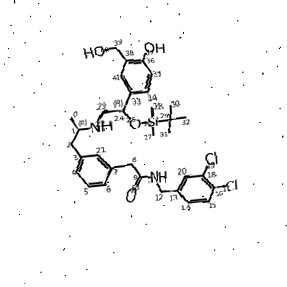 C[C@H](Cc1cccc(CC(=O)NCc2ccc(Cl)c(Cl)c2)c1)NC[C@H](O[Si](C)(C)C(C)(C)C)c1ccc(O)c(CO)c1